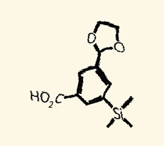 C[Si](C)(C)c1cc(C(=O)O)cc(C2OCCO2)c1